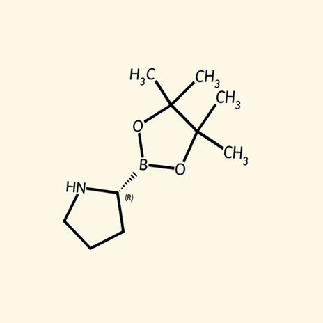 CC1(C)OB([C@@H]2CCCN2)OC1(C)C